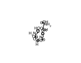 N[C@@H](CCC(=O)O)C(=O)O.N[C@@H](Cc1ccc(O)cc1)C(=O)O.N[C@@H](Cc1ccc(O)cc1)C(=O)OC(=O)[C@@H]1CCCN1